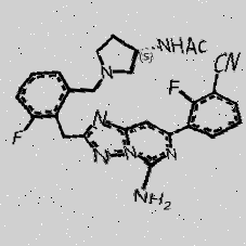 CC(=O)N[C@H]1CCN(Cc2cccc(F)c2Cc2nc3cc(-c4cccc(C#N)c4F)nc(N)n3n2)C1